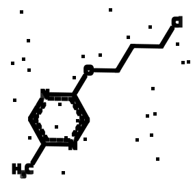 Cc1cnc(OCCCCl)cn1